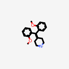 COc1ccccc1C(=C1CC[N]CC1)c1ccccc1OC